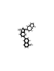 Fc1cccc2cc(-c3ccc4[nH]cc(C5CCN6CCCC6C5)c4n3)ccc12